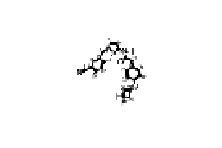 N#Cc1cc(Cn2ccc(NC(=O)Cc3ccc(OC4CC(F)(F)C4)cc3)n2)ccc1F